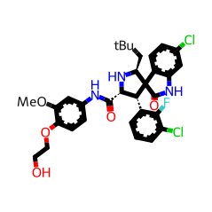 COc1cc(NC(=O)[C@@H]2N[C@@H](CC(C)(C)C)C3(C(=O)Nc4cc(Cl)ccc43)[C@@H]2c2cccc(Cl)c2F)ccc1OCCO